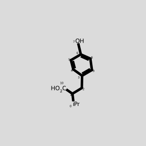 CC(C)C(Cc1ccc(O)cc1)C(=O)O